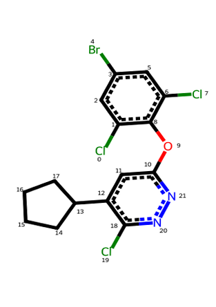 Clc1cc(Br)cc(Cl)c1Oc1cc(C2CCCC2)c(Cl)nn1